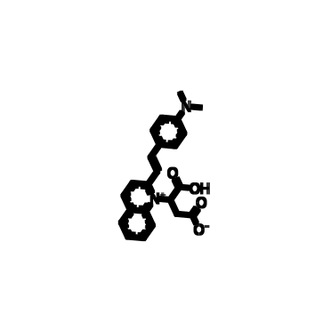 CN(C)c1ccc(/C=C/c2ccc3ccccc3[n+]2C(CC(=O)[O-])C(=O)O)cc1